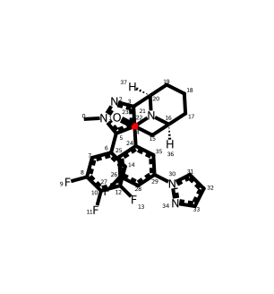 Cn1nc2c(c1-c1cc(F)c(F)c(F)c1)C[C@@H]1CCC[C@H]2N1C(=O)c1cc(F)cc(-n2cccn2)c1